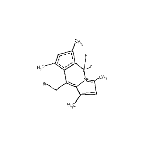 CC1=CC(C)=[N+]2C1=C(CBr)c1c(C)cc(C)n1[B-]2(F)F